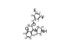 Fc1cc(F)cc(CO[C@@H]2COc3ccccc3[C@H]2N2CCNCC2)c1